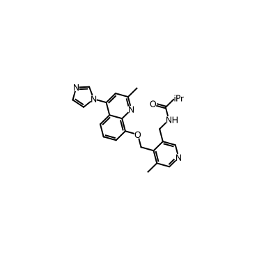 Cc1cc(-n2ccnc2)c2cccc(OCc3c(C)cncc3CNC(=O)C(C)C)c2n1